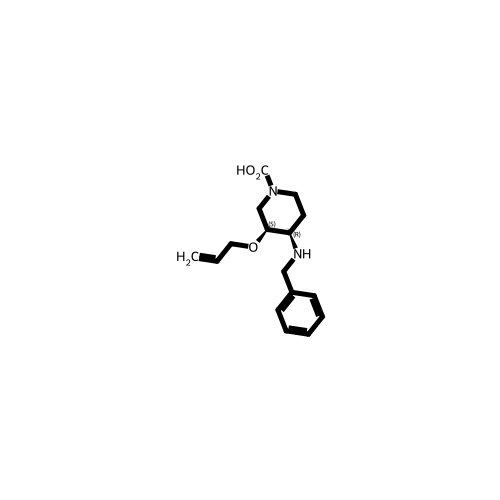 C=CCO[C@H]1CN(C(=O)O)CC[C@H]1NCc1ccccc1